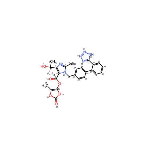 CCCCc1nc(C(C)(C)O)c(C(=O)Oc2oc(=O)oc2C)n1Cc1ccc(-c2ccccc2-c2nnn[nH]2)cc1